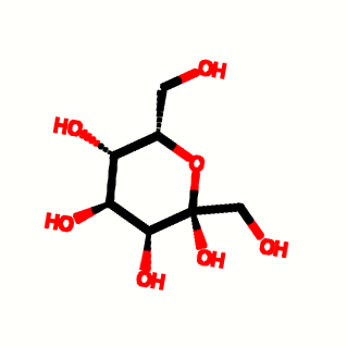 OC[C@@H]1O[C@](O)(CO)[C@@H](O)[C@@H](O)[C@@H]1O